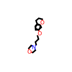 c1cc2c(cc1OCCCCN1CCOCC1)OCCC2